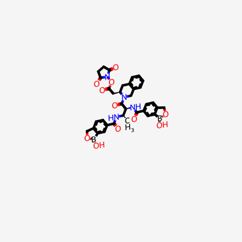 C[C@H](NC(=O)c1ccc2c(c1)B(O)OC2)[C@H](NC(=O)c1ccc2c(c1)B(O)OC2)C(=O)N1Cc2ccccc2C[C@@H]1CC(=O)ON1C(=O)CCC1=O